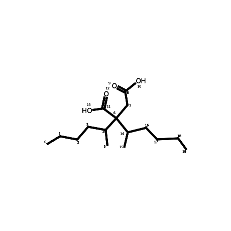 CCCCC(C)C(CC(=O)O)(C(=O)O)C(C)CCCC